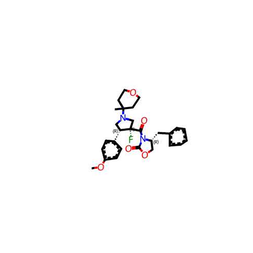 COc1ccc([C@@H]2CN(C3(C)CCOCC3)C[C@@]2(F)C(=O)N2C(=O)OC[C@H]2Cc2ccccc2)cc1